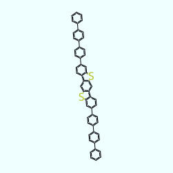 c1ccc(-c2ccc(-c3ccc(-c4ccc5c(c4)sc4cc6c(cc45)sc4cc(-c5ccc(-c7ccc(-c8ccccc8)cc7)cc5)ccc46)cc3)cc2)cc1